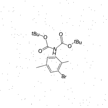 CC(C)(C)OC(=O)NC(=O)OC(C)(C)C.Cc1ccc(C)c(Br)c1